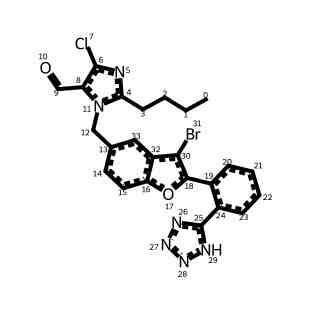 CCCCc1nc(Cl)c(C=O)n1Cc1ccc2oc(-c3ccccc3-c3nnn[nH]3)c(Br)c2c1